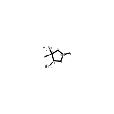 CC(C)[C@@H]1CN(C)C[C@@]1(C)N